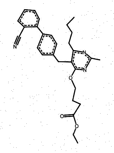 CCCCc1nc(C)nc(OCCCC(=O)OCC)c1Cc1ccc(-c2ccccc2C#N)cc1